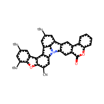 CC(C)(C)c1cc(C(C)(C)C)c2oc3c(C#N)cc4c(c5cc(C(C)(C)C)cc6c7cc8c(cc7n4c65)c(=O)oc4ccccc48)c3c2c1